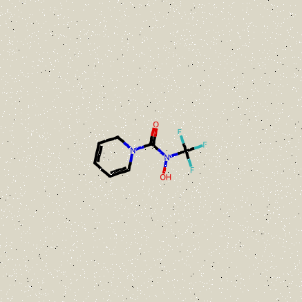 O=C(N1C=CC=CC1)N(O)C(F)(F)F